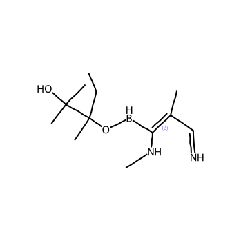 CCC(C)(OB/C(NC)=C(\C)C=N)C(C)(C)O